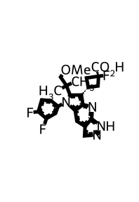 COCC(C)(C)c1c([C@H]2C[C@](F)(C(=O)O)C2)c2nc3[nH]ncc3cc2n1-c1ccc(F)c(F)c1